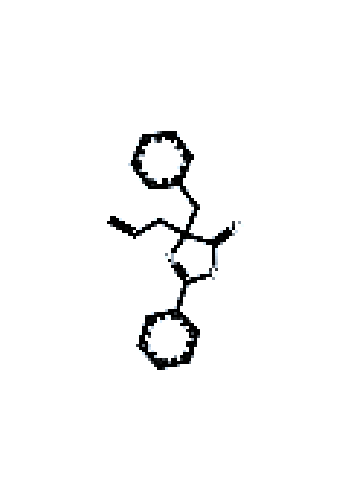 C=CCC1(Cc2ccccc2)N=C(c2ccccc2)OC1=O